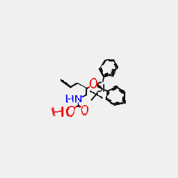 C=CCC(CNC(=O)O)O[Si](c1ccccc1)(c1ccccc1)C(C)(C)C